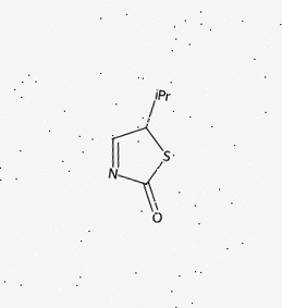 CC(C)C1C=NC(=O)S1